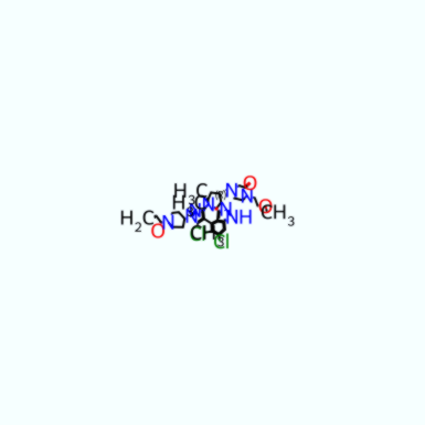 C=CC(=O)N1CCC(n2nc(N3CC[C@@H](CN4CCN(CCOC)C(=O)C4)CC3(C)C)c(-c3c(Cl)c(Cl)cc4[nH]ncc34)c2C)CC1